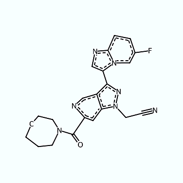 N#CCn1nc(-c2cnc3ccc(F)cn23)c2cnc(C(=O)N3CCCCCC3)cc21